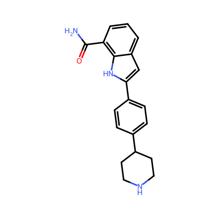 NC(=O)c1cccc2cc(-c3ccc(C4CCNCC4)cc3)[nH]c12